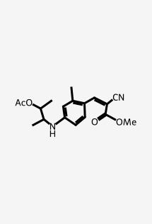 COC(=O)C(C#N)=Cc1ccc(NC(C)C(C)OC(C)=O)cc1C